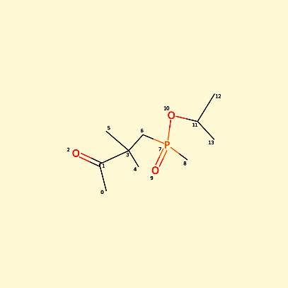 CC(=O)C(C)(C)CP(C)(=O)OC(C)C